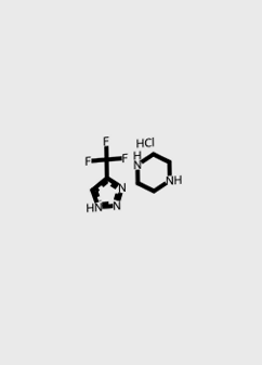 C1CNCCN1.Cl.FC(F)(F)c1c[nH]nn1